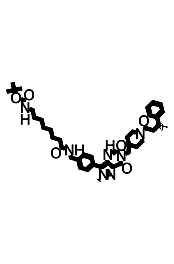 C[C@H](CC(=O)N1CCC(O)(Cn2cnc3c(-c4ccc(CNC(=O)CCCCCCCNC(=O)OC(C)(C)C)cc4)n(C)nc3c2=O)CC1)c1ccccc1